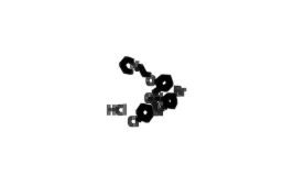 Cl.O=S(=O)(c1ccc(Cl)cc1)N(Cc1ccccc1OCCCN1CCCCC1)c1cc(Br)ccc1Br